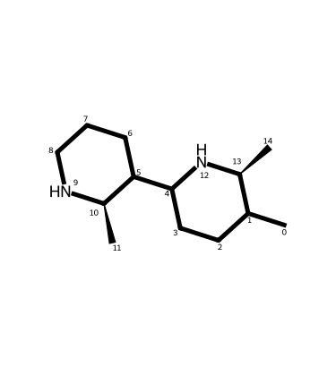 CC1CCC(C2CCCN[C@@H]2C)N[C@H]1C